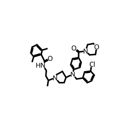 Cc1cccc(C)c1C(=O)NCCC(C)N1CCC(N(Cc2cccc(Cl)c2)c2ccc(C(=O)N3CCOCC3)cc2)CC1